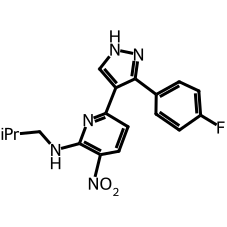 CC(C)CNc1nc(-c2c[nH]nc2-c2ccc(F)cc2)ccc1[N+](=O)[O-]